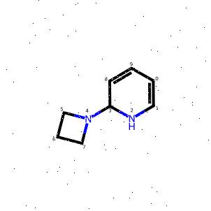 C1=CN[C](N2CCC2)C=C1